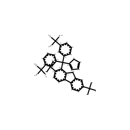 CC(C)(C)c1ccc2c(c1)Cc1c-2ccc(C(C)(C)C)c1C(C1=CC=CC1)(c1cccc(C(F)(F)F)c1)c1cccc(C(F)(F)F)c1